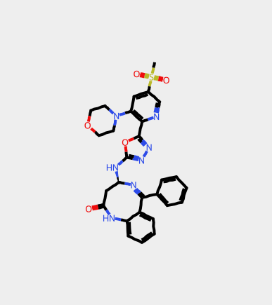 CS(=O)(=O)c1cnc(-c2nnc(N[C@@H]3CC(=O)Nc4ccccc4/C(c4ccccc4)=N\3)o2)c(N2CCOCC2)c1